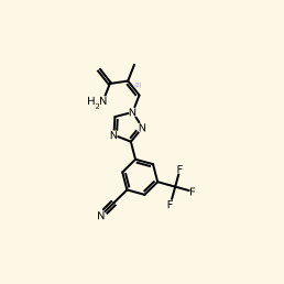 C=C(N)/C(C)=C\n1cnc(-c2cc(C#N)cc(C(F)(F)F)c2)n1